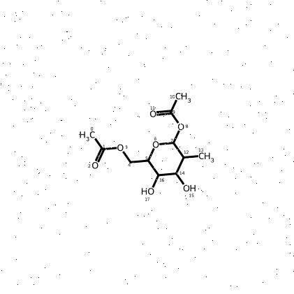 CC(=O)OCC1OC(OC(C)=O)C(C)C(O)C1O